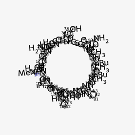 C=N/C(=C\NC)C[C@@H]1NC(=O)[C@@H]2CCCN2C(=O)[C@H](CC(N)=O)NC(=O)[C@H](C)N(C)C(=O)[C@H](Cc2ccc(O)cc2)NC(=O)CSC[C@@H](C(=O)NCC(N)=O)NC(=O)[C@H](C)NC(=O)[C@H](CCCC)N(C)C(=O)[C@H](CCCC)N(C)C(=O)[C@H](Cc2c[nH]c3ccccc23)NC(=O)[C@H](CO)NC(=O)[C@H](Cc2c[nH]c3ccccc23)NC(=O)[C@@H]2CCCN2C(=O)[C@H](CC(C)C)NC1=O